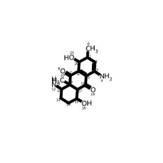 CC1C=C(N)C2=C(C(=O)C3(C)C(N)CCC(O)C3C2=O)C1O